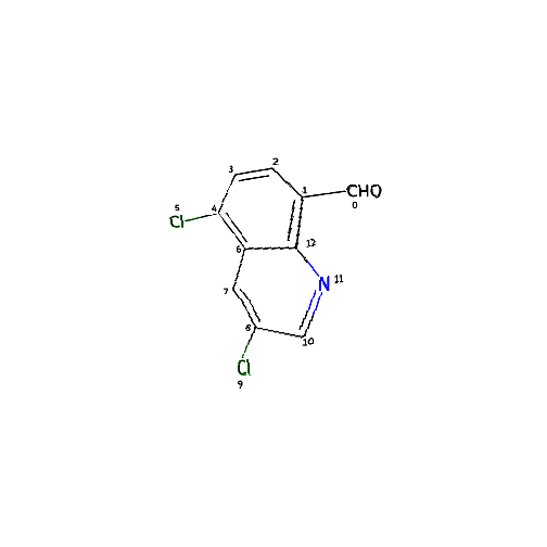 O=Cc1ccc(Cl)c2cc(Cl)cnc12